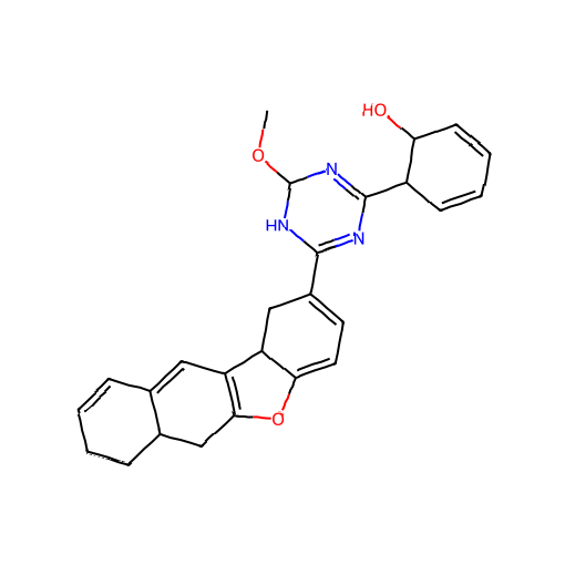 COC1N=C(C2C=CC=CC2O)N=C(C2=CC=C3OC4=C(C=C5C=CCCC5C4)C3C2)N1